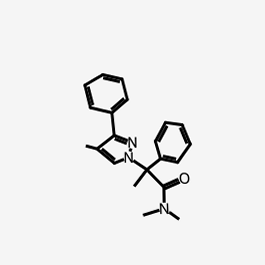 Cc1cn(C(C)(C(=O)N(C)C)c2ccccc2)nc1-c1ccccc1